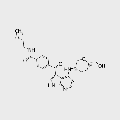 COCCNC(=O)c1ccc(C(=O)c2c[nH]c3ncnc(N[C@@H]4CC[C@@H](CO)OC4)c23)cc1